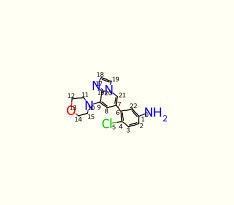 Nc1ccc(Cl)c(-c2cc(N3CCOCC3)c3nccn3c2)c1